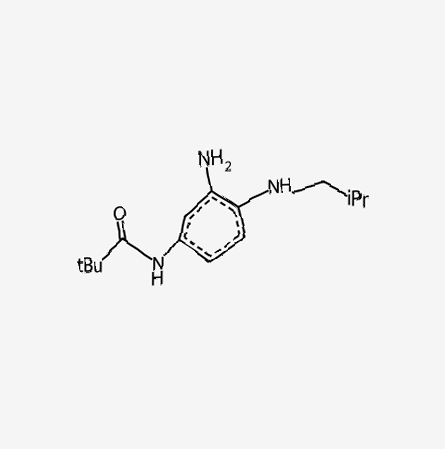 CC(C)CCNc1ccc(NC(=O)C(C)(C)C)cc1N